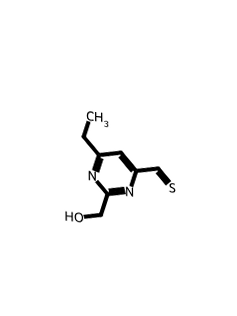 CCc1cc(C=S)nc(CO)n1